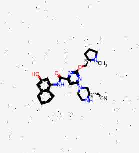 CN1CCC[C@@H]1COc1nc(C(=O)Nc2cc(O)cc3ccccc23)cc(N2CCN[C@@H](CC#N)C2)n1